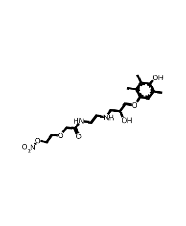 Cc1cc(OCC(O)CNCCNC(=O)COCCO[N+](=O)[O-])c(C)c(C)c1O